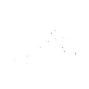 Cc1cc(Nc2nc(N3CCN(C(=O)c4ccccc4NC(=O)OC(C)(C)C)CC3)nn3cccc23)n[nH]1